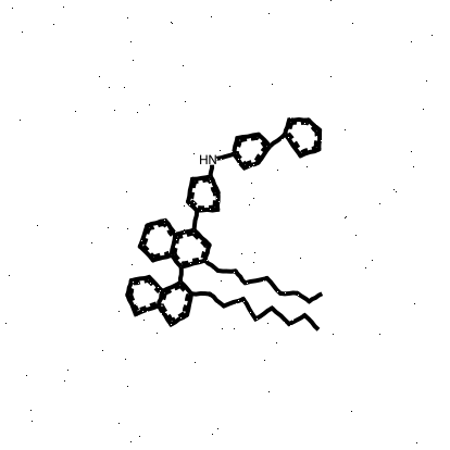 CCCCCCCCc1ccc2ccccc2c1-c1c(CCCCCCCC)cc(-c2ccc(Nc3ccc(-c4ccccc4)cc3)cc2)c2ccccc12